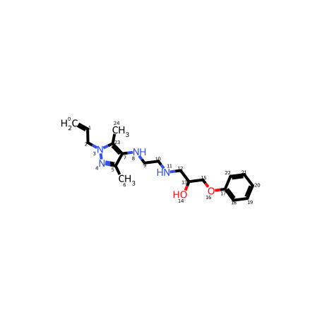 C=CCn1nc(C)c(NCCNCC(O)COc2ccccc2)c1C